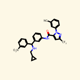 N#Cc1cccc(-n2nc(C(F)(F)F)cc2C(=O)Nc2cccc(C(NCC3CC3)c3cccc([N+](=O)[O-])c3)c2)c1